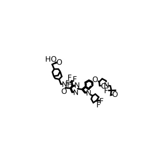 O=C(O)CC1CC2CC(CNC(=O)c3cnc(-c4cn(C5CCC(F)(F)CC5)c5cc(OC6CCN(CC7(F)COC7)CC6)ccc45)nc3C(F)(F)F)CC(C1)C2